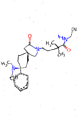 CN(C)[C@]1(c2ccccc2)CC[C@@]2(CC1)CC(=O)N(CCC(C)(C)C(=O)NCC#N)C2